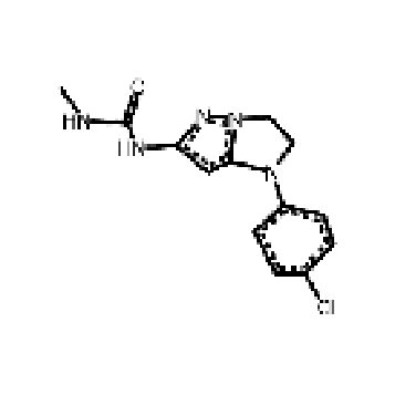 CNC(=O)Nc1cc2n(n1)CCN2c1ccc(Cl)cc1